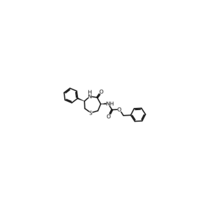 O=C(N[C@H]1CSC[C@@H](c2ccccc2)NC1=O)OCc1ccccc1